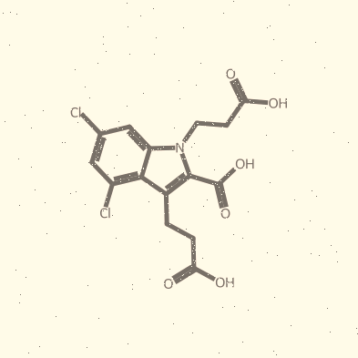 O=C(O)CCc1c(C(=O)O)n(CCC(=O)O)c2cc(Cl)cc(Cl)c12